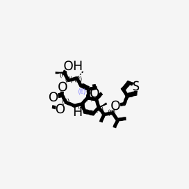 CO[C@H]1C[C@H]2C=C[C@@](C)(C(C)[C@H](OCc3ccsc3)C(C)C)C(C)[C@]2(OC)/C(C)=C/[C@@H](C)[C@@H]([C@@H](C)O)OC1=O